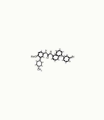 COc1ccc(NC(=O)Nc2cccc3c(-c4cccc(C(C)=O)c4)cccc23)cc1N1CCN(C)CC1